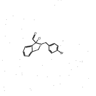 O=CC1(Cl)c2ccccc2CN1Cc1ccc(Br)cc1